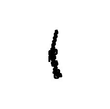 CCCCCCCC=CCCC(=O)Oc1ccc(-c2ccc(CCC(C)OC(=O)CC)cc2)nc1